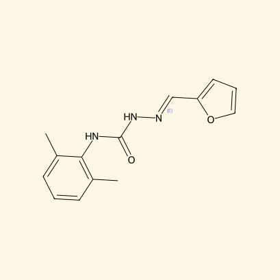 Cc1cccc(C)c1NC(=O)N/N=C/c1ccco1